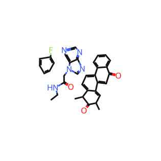 CC1C=c2c(ccc3c2=CC(=O)c2ccccc2-3)C(C)C1=O.CCNC(=O)Cn1cnc2ncncc21.Fc1ccccc1